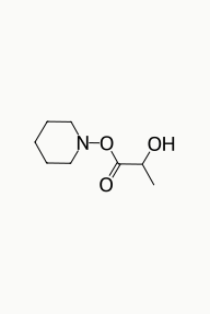 CC(O)C(=O)ON1CCCCC1